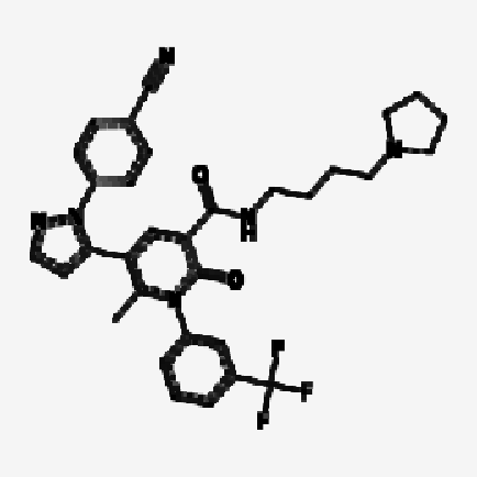 Cc1c(-c2ccnn2-c2ccc(C#N)cc2)cc(C(=O)NCCCCN2CCCC2)c(=O)n1-c1cccc(C(F)(F)F)c1